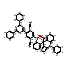 N#Cc1cc(N2c3ccccc3C3(c4ccccc4N(c4ccccc4)c4ccccc43)c3ccccc32)c(C#N)cc1-c1nc(-c2ccccc2)nc(-c2ccccc2)n1